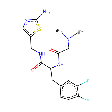 CC(C)N(CC(=O)NC(Cc1ccc(F)c(F)c1)C(=O)NCc1cnc(N)s1)C(C)C